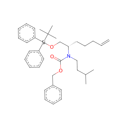 C=CCCC[C@@H](CO[Si](c1ccccc1)(c1ccccc1)C(C)(C)C)N(CCC(C)C)C(=O)OCc1ccccc1